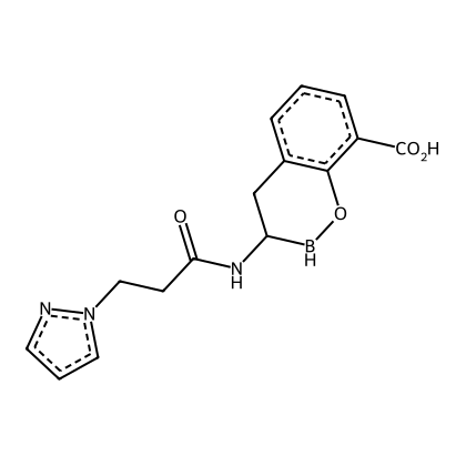 O=C(CCn1cccn1)NC1BOc2c(cccc2C(=O)O)C1